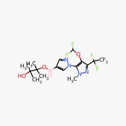 Cn1nc(C(F)(F)C(F)(F)F)c(OC(F)F)c1-n1cc(BOC(C)(C)C(C)(C)O)cn1